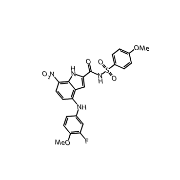 COc1ccc(S(=O)(=O)NC(=O)c2cc3c(Nc4ccc(OC)c(F)c4)ccc([N+](=O)[O-])c3[nH]2)cc1